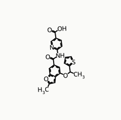 Cc1cc2c(OC(C)c3cccs3)cc(C(=O)Nc3ccc(C(=O)O)cn3)cc2o1